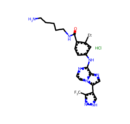 CCc1cc(Nc2nccn3c(-c4c[nH]nc4C(F)(F)F)cnc23)ccc1C(=O)NCCCCCN.Cl